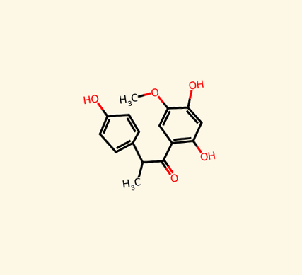 COc1cc(C(=O)C(C)c2ccc(O)cc2)c(O)cc1O